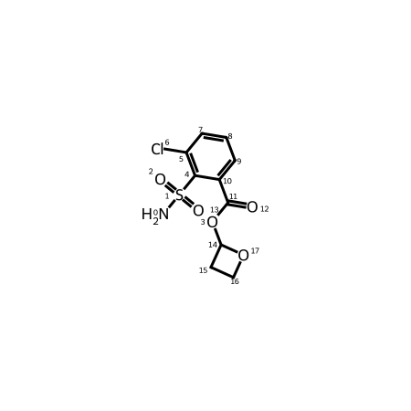 NS(=O)(=O)c1c(Cl)cccc1C(=O)OC1CCO1